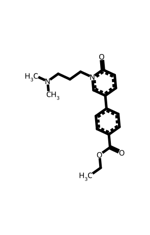 CCOC(=O)c1ccc(-c2ccc(=O)n(CCCN(C)C)c2)cc1